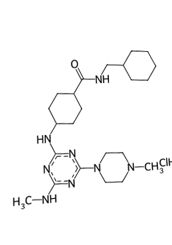 CNc1nc(NC2CCC(C(=O)NCC3CCCCC3)CC2)nc(N2CCN(C)CC2)n1.Cl